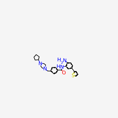 Nc1ccc(-c2cccs2)cc1NC(=O)c1ccc(CN2CCN(C3CCCC3)CC2)cc1